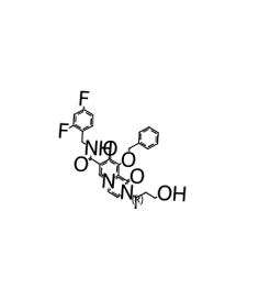 C[C@H](CCO)n1ccn2cc(C(=O)NCc3ccc(F)cc3F)c(=O)c(OCc3ccccc3)c2c1=O